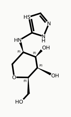 OC[C@H]1OC[C@@H](NC2=[SH]C=NN2)[C@@H](O)[C@H]1O